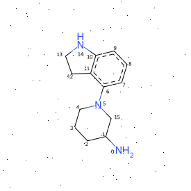 NC1CCCN(c2cccc3c2CCN3)C1